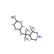 CC1CNCCC1C(C)(C)CC1CCC(C(C)(C)C)CC1